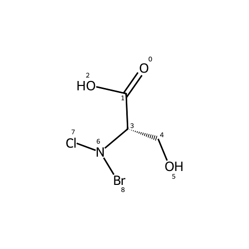 O=C(O)[C@H](CO)N(Cl)Br